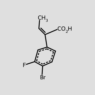 CC=C(C(=O)O)c1ccc(Br)c(F)c1